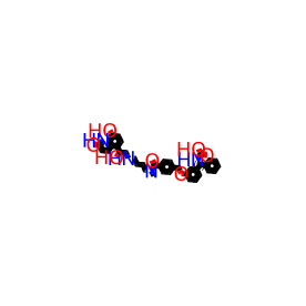 CN(CCCCNCC(O)c1ccc(O)c2[nH]c(=O)ccc12)C(=O)c1ccc(COc2cccc([C@@H](NC(=O)O)c3ccccc3)c2)cc1